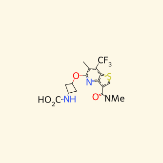 CNC(=O)c1csc2c(C(F)(F)F)c(C)c(OC3CC(NC(=O)O)C3)nc12